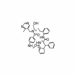 COC(=O)N[C@H](C(=O)Nc1ccccc1CC[C@@H](CO)N(Cc1cncnc1C)[S+]([O-])c1ccc(N)cc1)C(c1ccccc1)C1C=CC=CC1